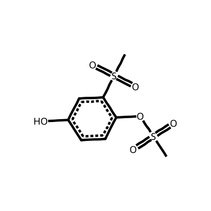 CS(=O)(=O)Oc1ccc(O)cc1S(C)(=O)=O